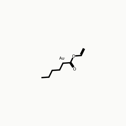 C=COC(=O)CCCCC.[Au]